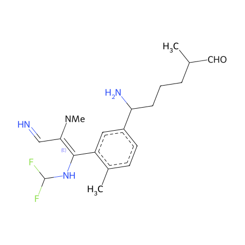 CN/C(C=N)=C(/NC(F)F)c1cc(C(N)CCCC(C)C=O)ccc1C